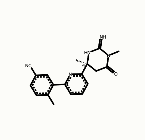 Cc1ccc(C#N)cc1-c1cccc([C@]2(C)CC(=O)N(C)C(=N)N2)n1